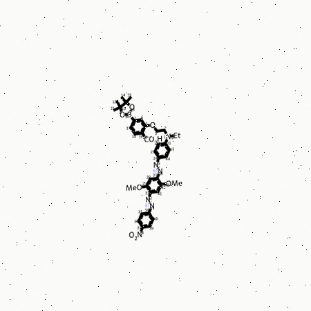 CCN(CCOc1cc(B2OC(C)(C)C(C)(C)O2)ccc1C(=O)O)c1ccc(/N=N/c2cc(OC)c(/N=N/c3ccc([N+](=O)[O-])cc3)cc2OC)cc1